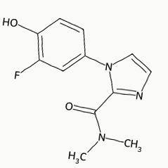 CN(C)C(=O)c1nccn1-c1ccc(O)c(F)c1